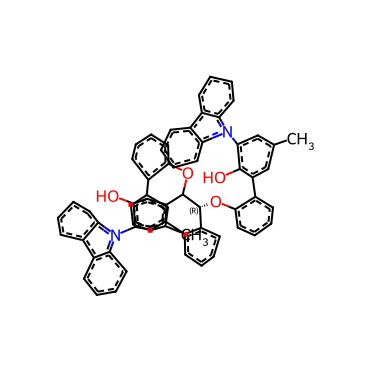 Cc1cc(-c2ccccc2OC2c3ccccc3-c3ccccc3[C@H]2Oc2ccccc2-c2cc(C)cc(-n3c4ccccc4c4ccccc43)c2O)c(O)c(-n2c3ccccc3c3ccccc32)c1